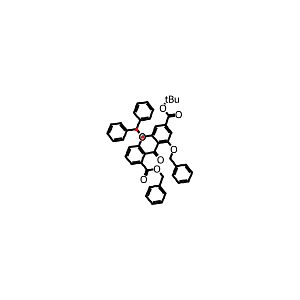 CC(C)(C)OC(=O)c1cc(OCc2ccccc2)c(C(=O)c2c(OCc3ccccc3)cccc2C(=O)OCc2ccccc2)c(OCc2ccccc2)c1